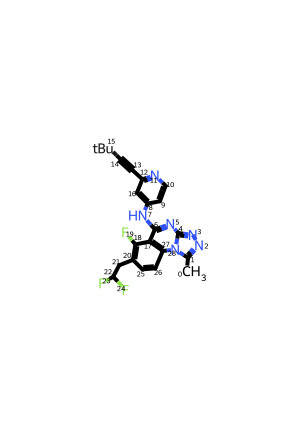 Cc1nnc2nc(Nc3ccnc(C#CC(C)(C)C)c3)c3c(F)c(CC(F)F)ccc3n12